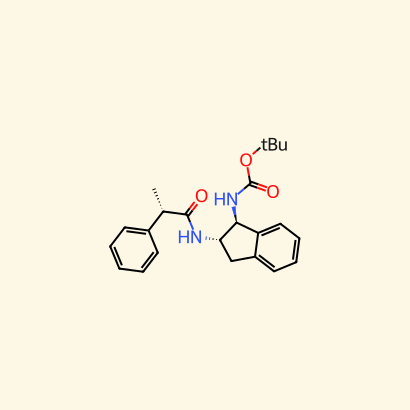 C[C@H](C(=O)N[C@H]1Cc2ccccc2[C@@H]1NC(=O)OC(C)(C)C)c1ccccc1